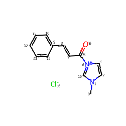 Cn1cc[n+](C(=O)C=Cc2ccccc2)c1.[Cl-]